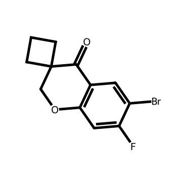 O=C1c2cc(Br)c(F)cc2OCC12CCC2